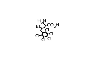 CCC(Cc1c(Cl)c(Cl)c(Cl)c(Cl)c1Cl)CC(CN)C(=O)O